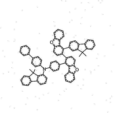 CC1(C)c2ccccc2-c2ccc(-c3c(-c4ccc5oc6ccccc6c5c4-c4ccc(N(c5ccc(-c6ccccc6)cc5)c5cccc6c5C(C)(C)c5ccccc5-6)cc4)ccc4oc5ccccc5c34)cc21